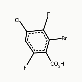 O=C(O)c1c(F)cc(Cl)c(F)c1Br